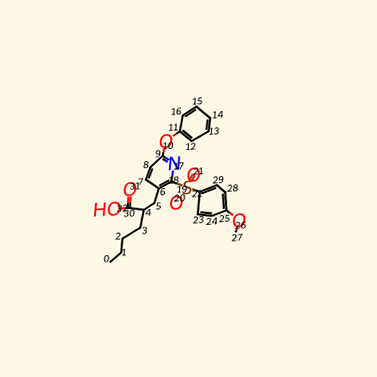 CCCCC(Cc1ccc(Oc2ccccc2)nc1S(=O)(=O)c1ccc(OC)cc1)C(=O)O